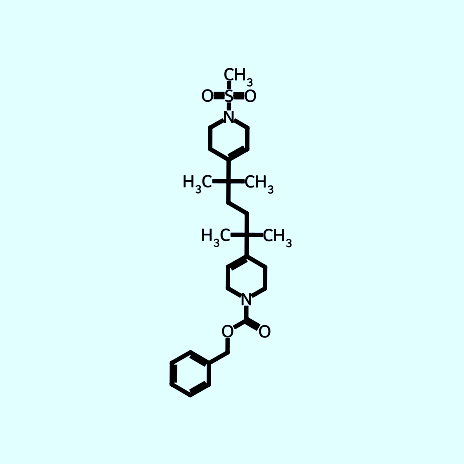 CC(C)(CCC(C)(C)C1=CCN(S(C)(=O)=O)CC1)C1=CCN(C(=O)OCc2ccccc2)CC1